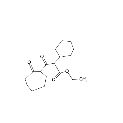 CCOC(=O)C(C(=O)C1CCCCCC1=O)C1CCCCC1